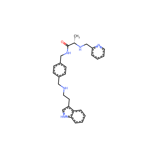 C[C@H](NCc1ccccn1)C(=O)NCc1ccc(CNCCc2c[nH]c3ccccc23)cc1